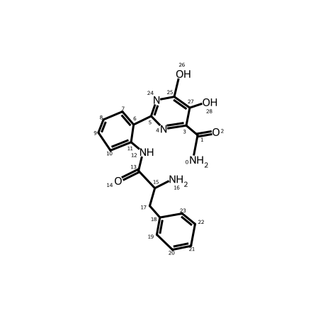 NC(=O)c1nc(-c2ccccc2NC(=O)C(N)Cc2ccccc2)nc(O)c1O